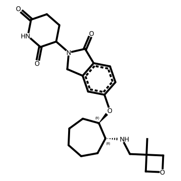 CC1(CN[C@@H]2CCCCC[C@H]2Oc2ccc3c(c2)CN(C2CCC(=O)NC2=O)C3=O)COC1